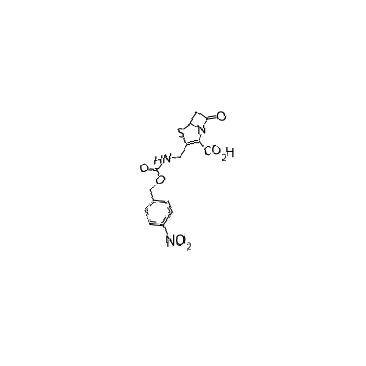 O=C(NCC1=C(C(=O)O)N2C(=O)CC2S1)OCc1ccc([N+](=O)[O-])cc1